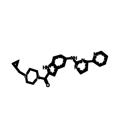 O=C(c1cc2cc(Nc3nccc(-c4ccccn4)n3)ccc2[nH]1)N1CCN(CC2CC2)CC1